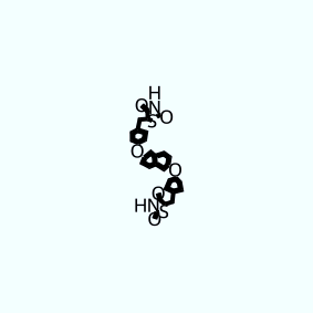 O=C1NC(=O)C(Cc2ccc(Oc3ccc4cc(Oc5ccc(CC6SC(=O)NC6=O)cc5)ccc4c3)cc2)S1